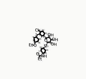 CCOc1ccc(Cc2cc([C@@H]3O[C@H](CSc4ccc(NC(=O)CC)cc4)[C@@H](O)[C@H](O)[C@H]3O)ccc2Cl)cc1